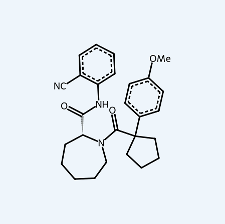 COc1ccc(C2(C(=O)N3CCCCC[C@@H]3C(=O)Nc3ccccc3C#N)CCCC2)cc1